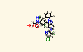 Cc1cccc(C)c1-n1nc2c(c1-c1cc(F)c(NC(=O)CO)cc1F)CN(c1ncc(Cl)cc1Cl)CC2